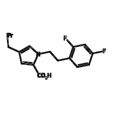 CC(C)Cc1cc(C(=O)O)n(CCc2ccc(F)cc2F)c1